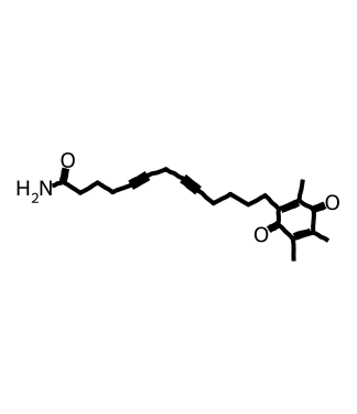 CC1=C(C)C(=O)C(CCCCC#CCC#CCCCC(N)=O)=C(C)C1=O